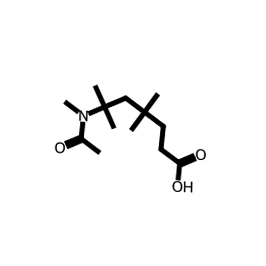 CC(=O)N(C)C(C)(C)CC(C)(C)CCC(=O)O